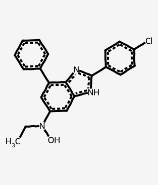 CCN(O)c1cc(-c2ccccc2)c2nc(-c3ccc(Cl)cc3)[nH]c2c1